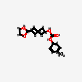 O=C(Oc1ccc([N+](=O)[O-])cc1)OC1CC2(C1)CC(C1OCCO1)C2